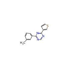 Cc1cccc(-c2ncnc(-c3ccsc3)n2)c1